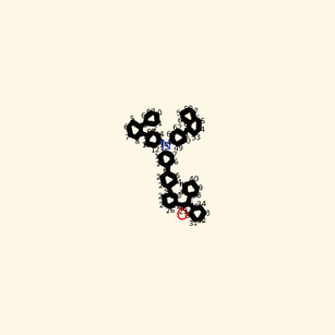 c1ccc(-c2ccccc2-c2ccc(N(c3ccc(-c4ccc(-c5cccc(-c6oc7ccccc7c6-c6ccccc6)c5)cc4)cc3)c3ccc(-c4cccc5ccccc45)cc3)cc2)cc1